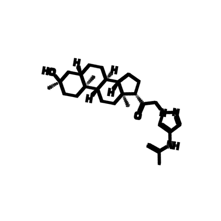 C=C(C)Nc1cnn(CC(=O)[C@H]2CC[C@H]3[C@@H]4CC[C@H]5C[C@](C)(O)CC[C@]5(C)[C@H]4CC[C@]23C)c1